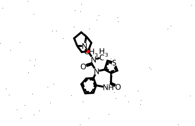 CN(C(=O)N1c2ccccc2NC(=O)c2cscc21)C1CC2CCC(C1)N2C